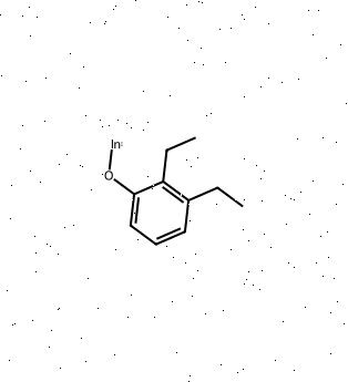 CCc1cccc([O][In])c1CC